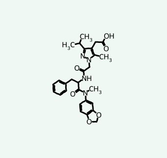 Cc1c(CC(=O)O)c(C(C)C)nn1CC(=O)NC(Cc1ccccc1)C(=O)N(C)c1ccc2c(c1)OCO2